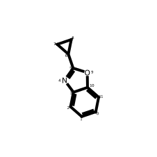 [c]1ccc2nc(C3CC3)oc2c1